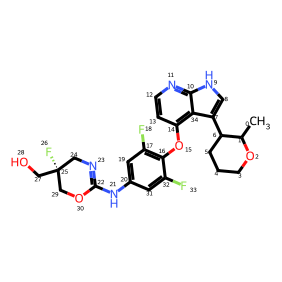 CC1OCCCC1c1c[nH]c2nccc(Oc3c(F)cc(NC4=NC[C@](F)(CO)CO4)cc3F)c12